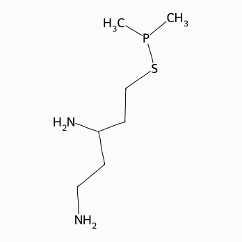 CP(C)SCCC(N)CCN